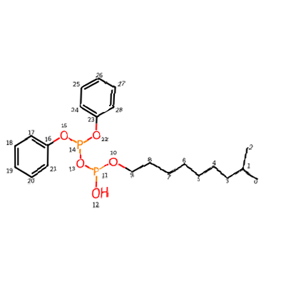 CC(C)CCCCCCCOP(O)OP(Oc1ccccc1)Oc1ccccc1